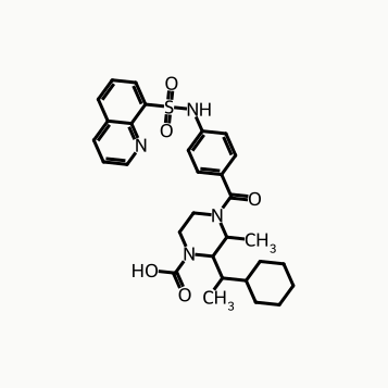 CC(C1CCCCC1)C1C(C)N(C(=O)c2ccc(NS(=O)(=O)c3cccc4cccnc34)cc2)CCN1C(=O)O